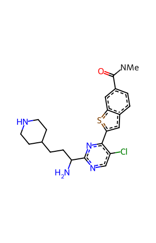 CNC(=O)c1ccc2cc(-c3nc(C(N)CCC4CCNCC4)ncc3Cl)sc2c1